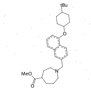 COC(=O)C1CCCN(Cc2ccc3c(OC4CCC(C(C)(C)C)CC4)cccc3c2)CC1